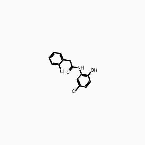 O=C(Cc1ccccc1Cl)Nc1cc(Cl)ccc1O